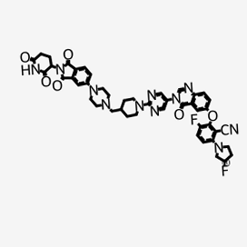 N#Cc1c(N2CC[C@@H](F)C2)ccc(F)c1Oc1ccc2ncn(-c3cnc(N4CCC(CN5CCN(c6ccc7c(c6)C(=O)N(C6CCC(=O)NC6=O)C7=O)CC5)CC4)nc3)c(=O)c2c1